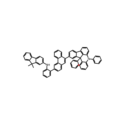 CC1(C)c2ccccc2-c2ccc(Nc3ccccc3-c3ccc4cc(-c5ccc6c(c5)C5(c7ccccc7)c7ccccc7N(c7ccccc7)c7cccc-6c75)c5ccccc5c4c3)cc21